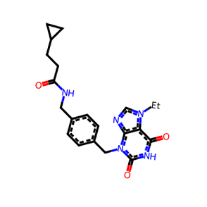 CCn1cnc2c1c(=O)[nH]c(=O)n2Cc1ccc(CNC(=O)CCC2CC2)cc1